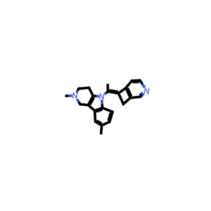 C/C(=C1/Cc2cnccc21)n1c2c(c3cc(C)ccc31)CN(C)CC2